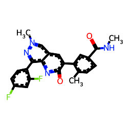 CNC(=O)c1ccc(C)c(-c2cc3cn(C)nc(-c4ccc(F)cc4F)c-3nc2=O)c1